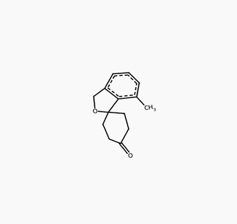 Cc1cccc2c1C1(CCC(=O)CC1)OC2